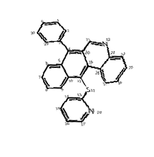 c1ccc(-c2c3ccccc3c(Sc3ccccn3)c3c2cnc2ccccc23)cc1